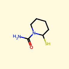 NC(=O)N1CCCCC1S